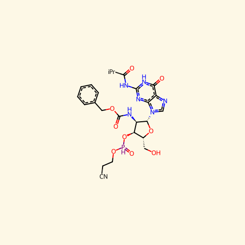 CC(C)C(=O)Nc1nc2c(ncn2[C@@H]2O[C@H](CO)[C@@H](O[PH](=O)OCCC#N)[C@H]2NC(=O)OCc2ccccc2)c(=O)[nH]1